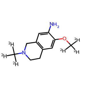 [2H]C([2H])([2H])Oc1cc2c(cc1N)CN(C([2H])([2H])[2H])CC2